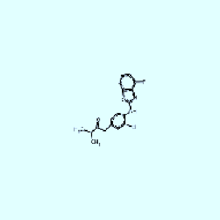 CC(C)C(=O)Cc1ccc(Nc2nc3c(F)cccc3o2)c(Cl)c1